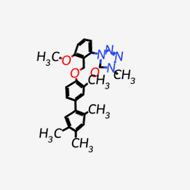 COc1cccc(-n2nnn(C)c2=O)c1COc1ccc(-c2cc(C)c(C)cc2C)cc1C